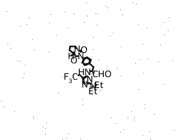 CCN(CC)c1ncc(CC(F)(F)F)c(N[C@H](C=O)Cc2ccc(N3C(=O)[C@@H]4CCCN4C3=O)cc2)n1